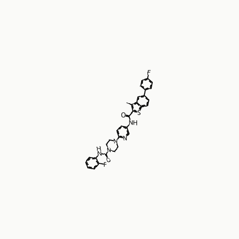 Cc1c(C(=O)Nc2ccc(N3CCN(C(=O)Nc4ccccc4F)CC3)nc2)sc2ccc(-c3ccc(F)cc3)cc12